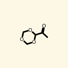 CC(=O)C1OCOCO1